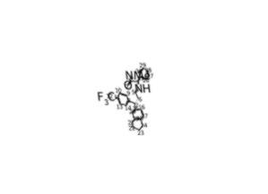 CNC(=O)C(NCC[C@@H](c1ccc(C(F)(F)F)cc1)c1ccc2c(c1)CCCC2)c1ccccc1